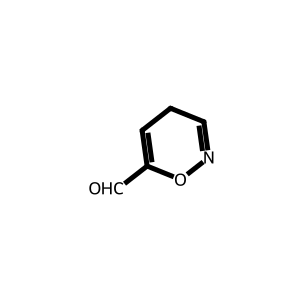 O=CC1=CCC=NO1